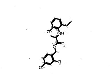 CCc1cccc(Cl)c1NC(C)C(=O)OCc1ccc(Cl)cc1Cl